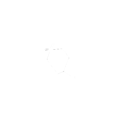 CCC1CCS(=O)(=O)OC1